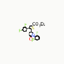 CCOC(=O)c1cc(-c2ccc(F)cc2F)c(-c2ccc(=O)n(-c3c(F)cccc3F)c2)s1